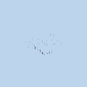 COc1ccc(-c2c(C3CCCCC3)c3ccc(C(=O)NS(=O)(=O)C4CCCC4)cc3n2CC(C)(C)C(=O)N2C3CC2CN(C)C3)c(C)c1